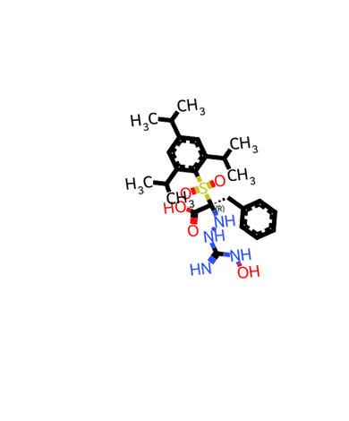 CC(C)c1cc(C(C)C)c(S(=O)(=O)[C@@](Cc2ccccc2)(NNC(=N)NO)C(=O)O)c(C(C)C)c1